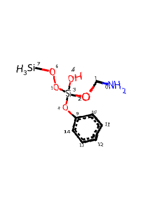 NCO[Si](O)(OO[SiH3])Oc1ccccc1